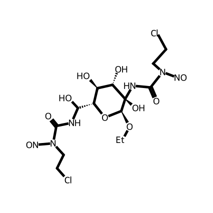 CCO[C@H]1O[C@H](C(O)NC(=O)N(CCCl)N=O)[C@@H](O)[C@H](O)[C@]1(O)NC(=O)N(CCCl)N=O